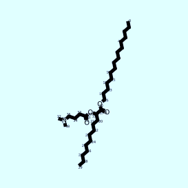 CCCCCCCCCCCCCCCCOC(=O)C(CCCCCCCCCC)OC(=O)CCCN(C)C